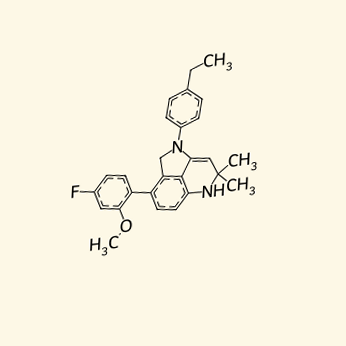 CCc1ccc(N2Cc3c(-c4ccc(F)cc4OC)ccc4c3C2=CC(C)(C)N4)cc1